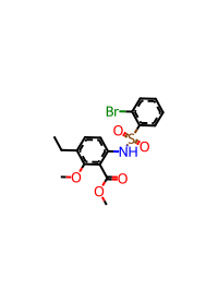 CCc1ccc(NS(=O)(=O)c2ccccc2Br)c(C(=O)OC)c1OC